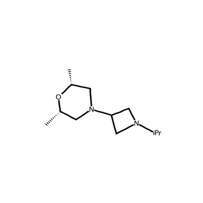 CC(C)N1CC(N2C[C@@H](C)O[C@@H](C)C2)C1